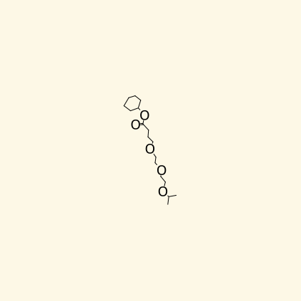 CC(C)OCCOCCOCCCC(=O)OC1CCCCC1